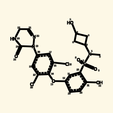 CN(C1CC(O)C1)S(=O)(=O)c1cc(Oc2c(Cl)cc(N3N=CCNC3=O)cc2Cl)ccc1O